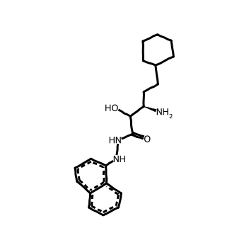 N[C@H](CCC1CCCCC1)C(O)C(=O)NNc1cccc2ccccc12